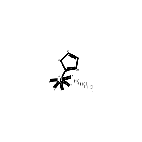 Cl.Cl.Cl.[CH2]=[Hf](=[CH2])(=[CH2])(=[CH2])(=[CH2])[C]1=CC=CC1